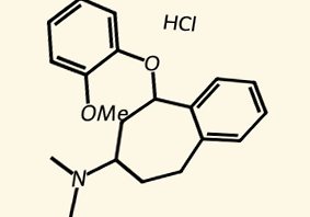 COc1ccccc1OC1CC(N(C)C)CCc2ccccc21.Cl